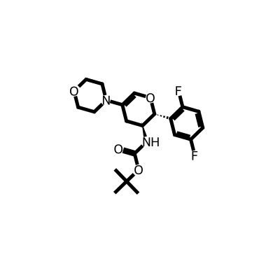 CC(C)(C)OC(=O)N[C@H]1CC(N2CCOCC2)=CO[C@@H]1c1cc(F)ccc1F